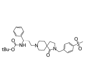 CC(C)(C)OC(=O)N[C@@H](CCN1CCC2(CC1)CCN(Cc1ccc(S(C)(=O)=O)cc1)C2=O)c1ccccc1